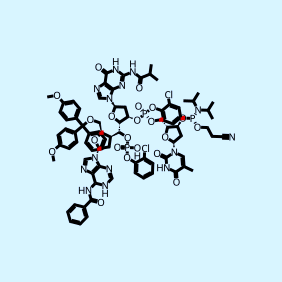 COc1ccc(C(OC[C@@H]2O[C@@H](n3cnc4c3N=CNC4NC(=O)c3ccccc3)C[C@@H]2C(OP(=O)(O)Oc2ccccc2Cl)[C@@H]2O[C@@H](n3cnc4c(=O)[nH]c(NC(=O)C(C)C)nc43)C[C@@H]2OP(=O)(OC[C@H]2O[C@@H](n3cc(C)c(=O)[nH]c3=O)C[C@@H]2OP(OCCC#N)N(C(C)C)C(C)C)Oc2ccccc2Cl)(c2ccccc2)c2ccc(OC)cc2)cc1